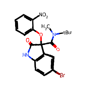 CN(C(=O)C1(Oc2ccccc2[N+](=O)[O-])C(=O)Nc2ccc(Br)cc21)C(C)(C)C